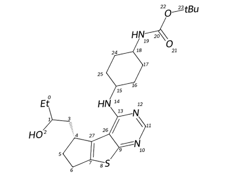 CCC(O)C[C@H]1CCc2sc3ncnc(NC4CCC(NC(=O)OC(C)(C)C)CC4)c3c21